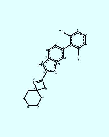 Fc1cccc(F)c1-c1ccc2[nH]c(C3=NC4(CCCCC4)C3)nc2c1